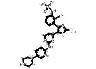 CCCS(=O)(=O)Nc1cccc(-c2nc(C)sc2-c2ccnc(Nc3ccc(N4CCNCC4)cn3)n2)c1F